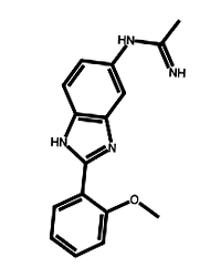 COc1ccccc1-c1nc2cc(NC(C)=N)ccc2[nH]1